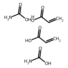 C=CC(=O)O.C=CC(=O)O.NC(=O)O.NC(=O)O